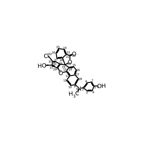 CN(c1ccc(O)cc1)c1ccc2c3c(ccc2c1)C1(OC(=O)c2ccccc21)c1cc(Cl)c(O)cc1O3